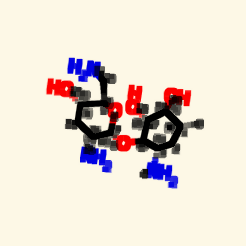 C[C@@H]1C[C@H](N)[C@@H](O[C@H]2O[C@H](CN)[C@@H](O)C[C@H]2N)[C@H](O)[C@H]1O